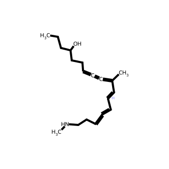 CCCC(O)CCC=C=C=C(C)/C=C/C=C=CCCNC